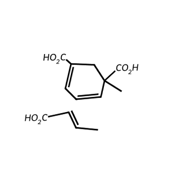 CC1(C(=O)O)C=CC=C(C(=O)O)C1.CC=CC(=O)O